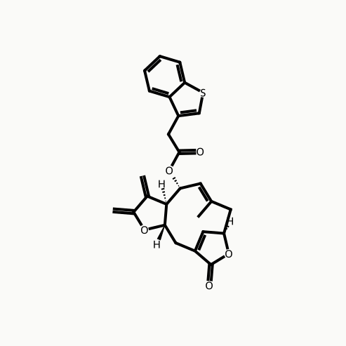 C=C1O[C@H]2CC3=C[C@@H](C/C(C)=C/[C@@H](OC(=O)Cc4csc5ccccc45)[C@@H]2C1=C)OC3=O